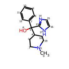 CN1CCC(C(O)(c2ccccc2)c2ncc[nH]2)CC1